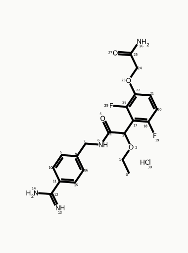 CCOC(C(=O)NCc1ccc(C(=N)N)cc1)c1c(F)ccc(OCC(N)=O)c1F.Cl